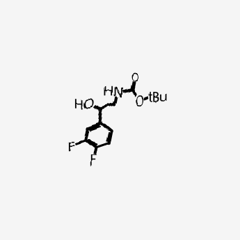 CC(C)(C)OC(=O)NCC(O)c1ccc(F)c(F)c1